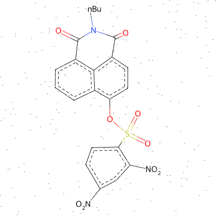 CCCCN1C(=O)c2cccc3c(OS(=O)(=O)c4ccc([N+](=O)[O-])cc4[N+](=O)[O-])ccc(c23)C1=O